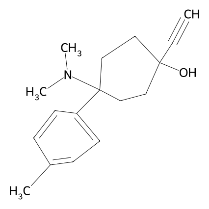 C#CC1(O)CCC(c2ccc(C)cc2)(N(C)C)CC1